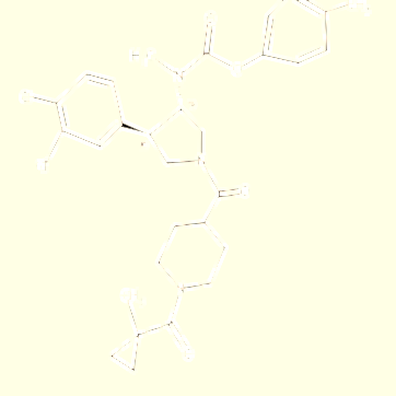 Cc1ccc(OC(=O)N(C)[C@@H]2CN(C(=O)C3CCN(C(=O)C4(C)CC4)CC3)C[C@H]2c2ccc(Cl)c(Cl)c2)cn1